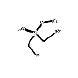 CCC[Si](CC(C)C)(CC(C)C)OCC